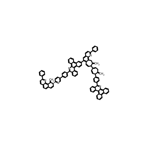 C=C1Cc2c(c(-c3ccc4c(c3)c3ccccc3c3nc(-c5ccc(-c6ccc([C@H]7C=Cc8ccc9ccc(-c%10ccccc%10)nc9c8C7=C)nc6)cc5)c5ccccc5c43)cc3ccc(-c4ccccc4)nc23)C=CC1C1=CCC(=C)C(c2ccc(-c3nc4c5ccccc5c5ccccc5c4c4ccccc34)cc2)C=C1